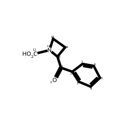 O=C(c1ccccc1)C1CCN1C(=O)O